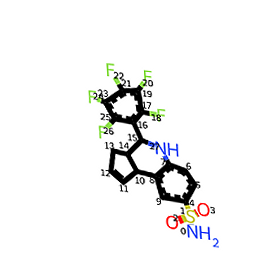 NS(=O)(=O)c1ccc2c(c1)C1C=CCC1C(c1c(F)c(F)c(F)c(F)c1F)N2